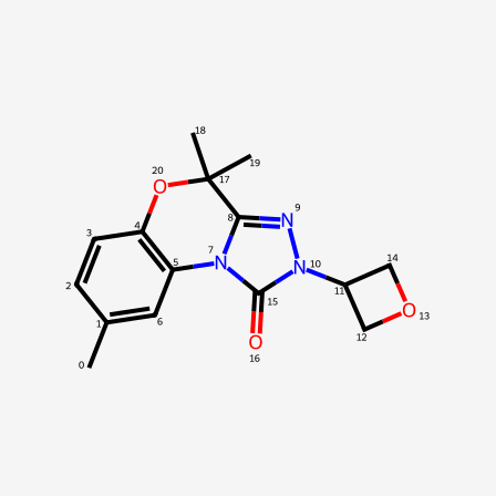 Cc1ccc2c(c1)-n1c(nn(C3COC3)c1=O)C(C)(C)O2